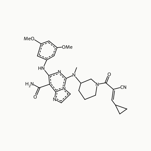 COc1cc(Nc2nc(N(C)C3CCCN(C(=O)C(C#N)=CC4CC4)C3)n3ccnc3c2C(N)=O)cc(OC)c1